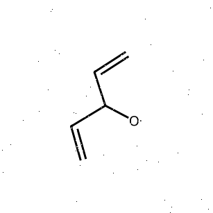 C=CC([O])C=C